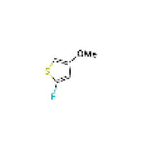 COc1csc(F)c1